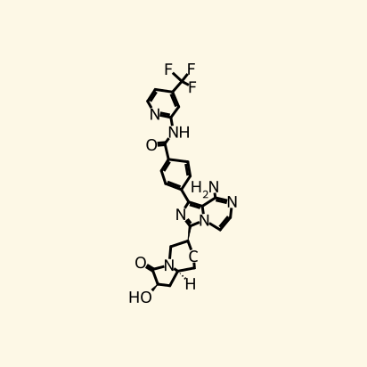 Nc1nccn2c([C@H]3CC[C@H]4C[C@@H](O)C(=O)N4C3)nc(-c3ccc(C(=O)Nc4cc(C(F)(F)F)ccn4)cc3)c12